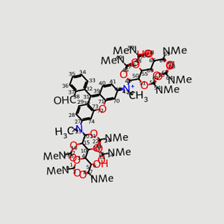 CNC(=O)OC(C(O)C(=O)NC)C(OC(=O)NC)C(OC(=O)NC)C(OC(=O)NC)N(C)c1ccc2c(-c3ccccc3C=O)c3cc/c(=[N+](/C)C(OC(=O)NC)C(OC(=O)NC)C(OC(=O)NC)C(OC(=O)NC)C(O)C(=O)NC)cc-3oc2c1